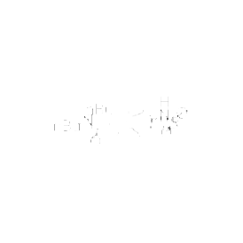 CCCCN(CCCC)C(=O)CCc1ccc(NS(C)(=O)=O)cc1